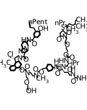 C=CC(C)CCC(C)(CCC)SC1CC(=O)N(CCOCCOC(=O)N[C@H](C(=O)N[C@@H](CCCNC(N)=O)C(=O)Nc2ccc(COC(=O)N(C)CCN(CCOCCO)C(=O)Oc3cc4c(c5c(C)cccc35)[C@H](CCl)CN4C(=O)c3cn4cc(NC(=O)c5ccc(O)c(C/C=C\CCCCC)c5)ccc4n3)cc2)C(C)C)C1=O